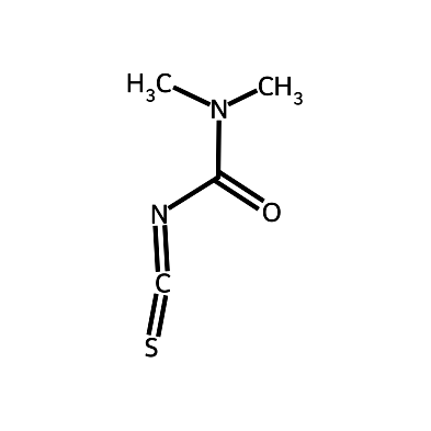 CN(C)C(=O)N=C=S